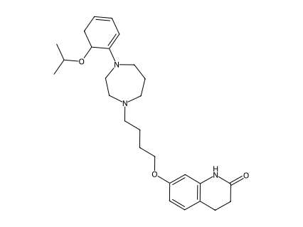 CC(C)OC1CC=CC=C1N1CCCN(CCCCOc2ccc3c(c2)NC(=O)CC3)CC1